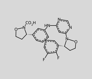 O=C(O)N1OCC[C@H]1c1cccc(Nc2cc(N3OCC[C@@H]3c3cccc(F)c3F)ncn2)c1